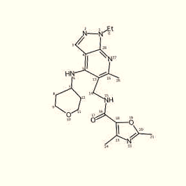 CCn1ncc2c(NC3CCOCC3)c(CNC(=O)c3oc(C)nc3C)c(C)nc21